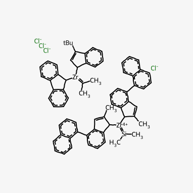 CC1=Cc2c(-c3cccc4ccccc34)cccc2[CH]1[Zr+4]([CH]1C(C)=Cc2c(-c3cccc4ccccc34)cccc21)=[Si](C)C.C[C](C)=[Zr]([CH]1C=C(C(C)(C)C)c2ccccc21)[CH]1c2ccccc2-c2ccccc21.[Cl-].[Cl-].[Cl-].[Cl-]